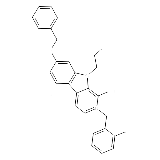 CCCn1c2cc(OCc3ccccc3)ccc2c2cc[n+](Cc3ccccc3F)c(C)c21.[Br-]